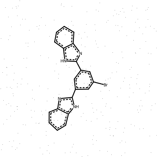 Brc1cc(-c2nc3ccccc3[nH]2)cc(-c2nc3ccccc3[nH]2)c1